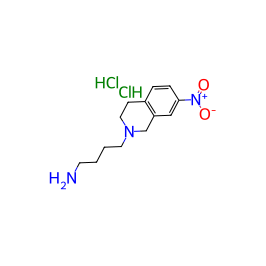 Cl.Cl.NCCCCN1CCc2ccc([N+](=O)[O-])cc2C1